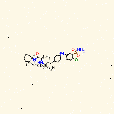 C[C@H](N[C@@H](CCc1ccc(Nc2ccc(Cl)c(S(N)(=O)=O)c2)cc1)C(=O)O)C(=O)N1[C@@H]2CCCC[C@@H]2C[C@H]1C(=O)O